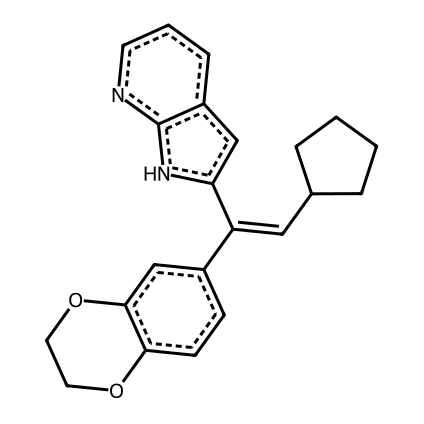 C(=C(c1ccc2c(c1)OCCO2)c1cc2cccnc2[nH]1)C1CCCC1